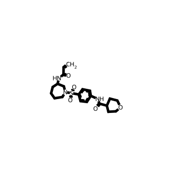 C=CC(=O)NC1CCCCN(S(=O)(=O)c2ccc(NC(=O)C3CCOCC3)cc2)C1